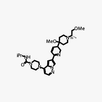 COC[C@H](C)N1CCC(OC)(C2C=CC(c3cc4c(N5CCN(C(=O)NC(C)C)CC5)ccnn4c3)=NC2)CC1